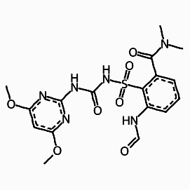 COc1cc(OC)nc(NC(=O)NS(=O)(=O)c2c(NC=O)cccc2C(=O)N(C)C)n1